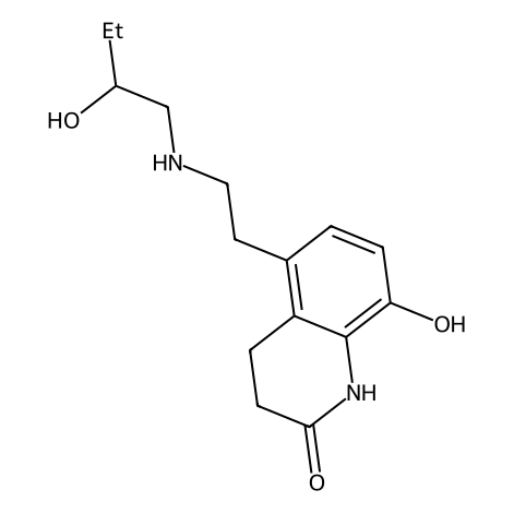 CCC(O)CNCCc1ccc(O)c2c1CCC(=O)N2